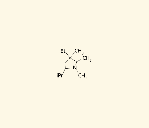 CCC1(C)CC(C(C)C)N(C)C1C